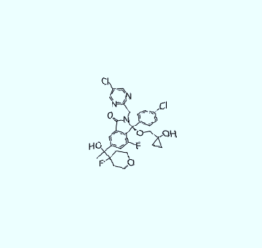 CC(O)(c1cc(F)c2c(c1)C(=O)N(Cc1ncc(Cl)cn1)[C@]2(OCC1(O)CC1)c1ccc(Cl)cc1)C1(F)CCOCC1